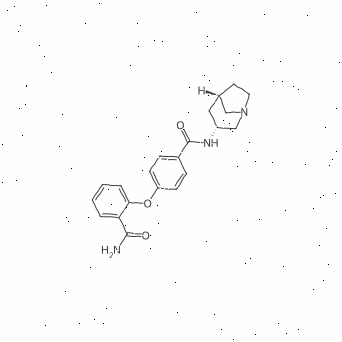 NC(=O)c1ccccc1Oc1ccc(C(=O)N[C@@H]2C[C@@H]3CCN(C3)C2)cc1